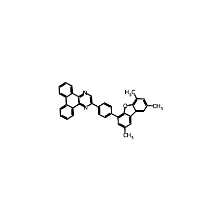 Cc1cc(C)c2oc3c(-c4ccc(-c5cnc6c7ccccc7c7ccccc7c6n5)cc4)cc(C)cc3c2c1